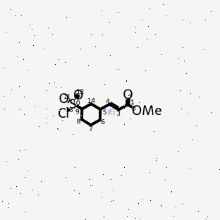 COC(=O)/C=C/C1CCCC(S(=O)(=O)Cl)C1